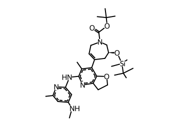 CNc1cc(C)nc(Nc2nc3c(c(C4=CCN(C(=O)OC(C)(C)C)C[C@@H](O[Si](C)(C)C(C)(C)C)C4)c2C)OCC3)c1